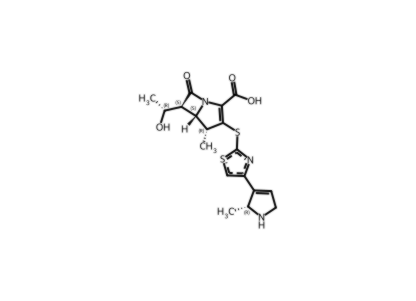 C[C@H]1NCC=C1c1csc(SC2=C(C(=O)O)N3C(=O)[C@H]([C@@H](C)O)[C@H]3[C@H]2C)n1